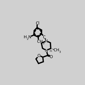 Cc1c(N)cc(Cl)cc1CN1CCN(C(=O)C2CCCO2)[C@@H](C)C1